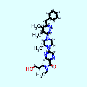 CCN(CCCO)C(=O)c1cnc(N2CCN(c3nnc(Cc4ccccc4)c(C)c3C)C[C@H]2C)cn1